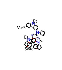 C=C(/C=C\C1=CC(c2ccccc2)(c2ccccc2)C=C1/C=C\C(=C)N(c1ccccc1)c1ccc2c(c1)c1cc(SC)ccc1n2CC)N(c1ccccc1)c1ccc2c(c1)c1cc(SC)ccc1n2CC